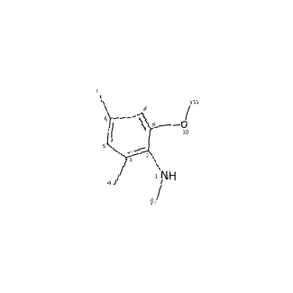 CNc1c(C)cc(I)cc1OC